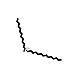 CCCCCCCCCCCCCC[N+](C)(C)CCCCCCCCCCCC